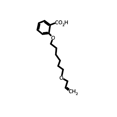 C=CCOCCCCCCOc1ccccc1C(=O)O